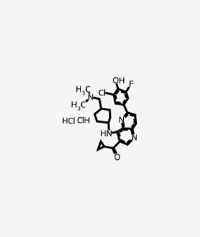 CN(C)CC1CCC(Nc2c(C(=O)C3CC3)cnc3ccc(-c4cc(F)c(O)c(Cl)c4)nc23)CC1.Cl.Cl